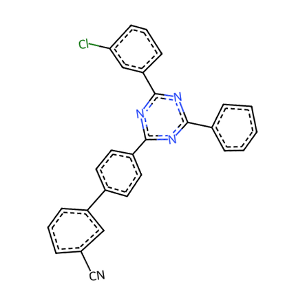 N#Cc1cccc(-c2ccc(-c3nc(-c4ccccc4)nc(-c4cccc(Cl)c4)n3)cc2)c1